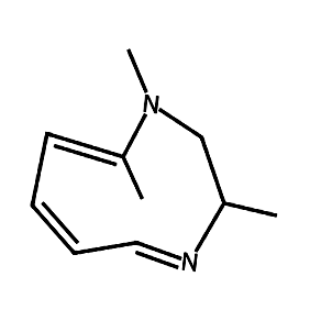 C\C1=C/C=C\C=N\C(C)CN1C